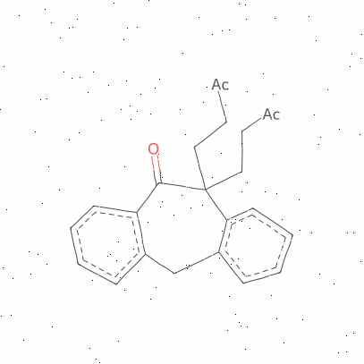 CC(=O)CCC1(CCC(C)=O)C(=O)c2ccccc2Cc2ccccc21